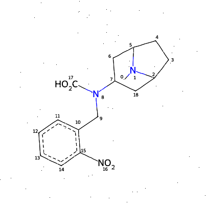 CN1C2CCC1CC(N(Cc1ccccc1[N+](=O)[O-])C(=O)O)C2